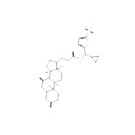 C[C@H](CC(=O)NC(c1ccc(S(=O)(=O)O)s1)C1CC1)C1CC[C@H]2C3C(=O)CC4CC(=O)CCC4(C)[C@H]3CCC12C